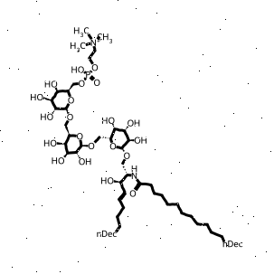 CCCCCCCCCCCCC/C=C/[C@@H](O)[C@H](CO[C@@H]1O[C@H](CO[C@@H]2O[C@H](CO[C@@H]3O[C@H](COP(=O)(O)OCC[N+](C)(C)C)[C@H](O)[C@H](O)[C@H]3O)[C@H](O)[C@H](O)[C@H]2O)[C@H](O)[C@H](O)[C@H]1O)NC(=O)CCCCCCCCCCCCCCCCCCCCC